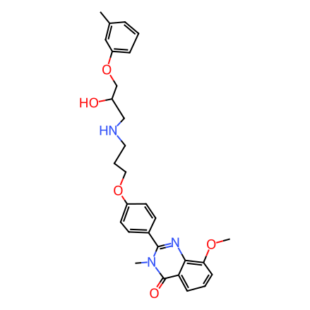 COc1cccc2c(=O)n(C)c(-c3ccc(OCCCNCC(O)COc4cccc(C)c4)cc3)nc12